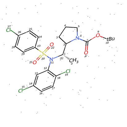 C[C@@H](C1CCCN1C(=O)OC(C)(C)C)N(c1cc(Cl)ccc1Cl)S(=O)(=O)c1ccc(Cl)cc1